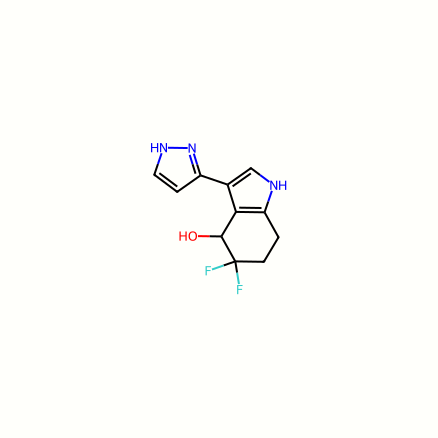 OC1c2c(-c3cc[nH]n3)c[nH]c2CCC1(F)F